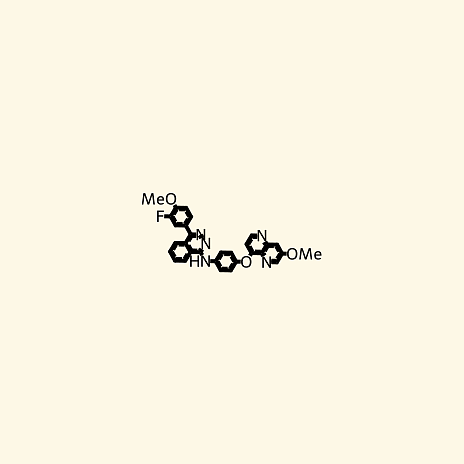 COc1cnc2c(Oc3ccc(Nc4nnc(-c5ccc(OC)c(F)c5)c5ccccc45)cc3)ccnc2c1